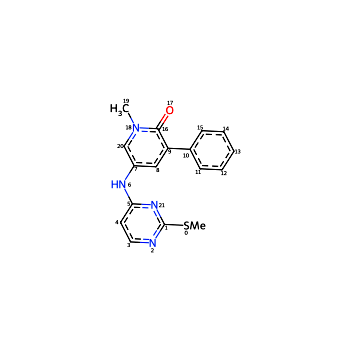 CSc1nccc(Nc2cc(-c3ccccc3)c(=O)n(C)c2)n1